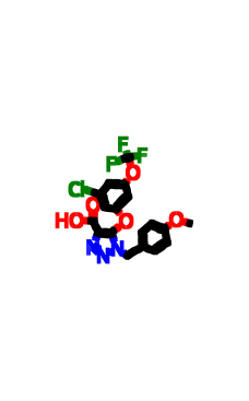 COc1ccc(Cn2nnc(C(=O)O)c2Oc2cc(Cl)cc(OC(F)(F)F)c2)cc1